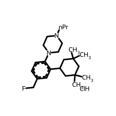 CCCN1CCN(c2ccc(CF)cc2C2CC(C)(C)CC(C)(C)C2)CC1.Cl